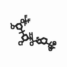 COc1cc(OC(F)(F)F)cc(C(C)(C)c2cc(Cl)cc(NC(=O)c3cc4cc(C(C)(C)S(C)(=O)=O)ccc4s3)c2)c1